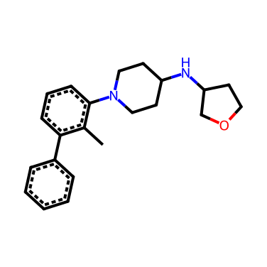 Cc1c(-c2ccccc2)cccc1N1CCC(NC2CCOC2)CC1